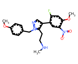 CNCCc1c(-c2cc([N+](=O)[O-])c(OC)cc2F)cnn1Cc1ccc(OC)cc1